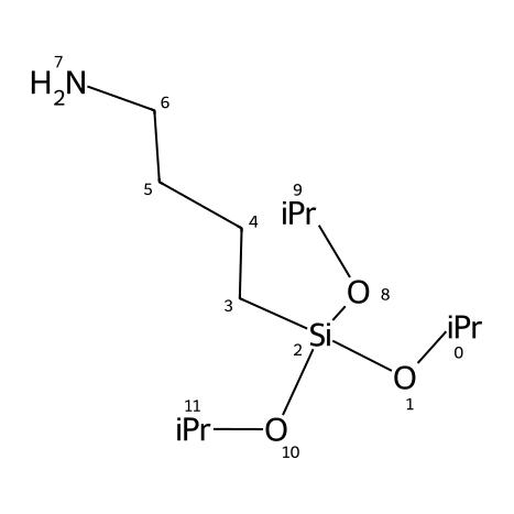 CC(C)O[Si](CCCCN)(OC(C)C)OC(C)C